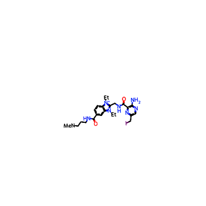 CCn1c(CNC(=O)c2nc(CI)cnc2N)[n+](CC)c2ccc(C(=O)NCCCNC)cc21